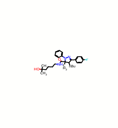 CCCCC1C(c2ccc(F)cc2)=NN(c2ccccc2)C1(C)C(=O)NCCCCC(C)(C)O